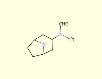 CC(C)N(C=O)C1CC2CCC(C1)N2